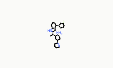 C=C(c1cc2c(-c3cccc(F)c3)cccc2[nH]1)c1cc(-c2ccccn2)ccc1N